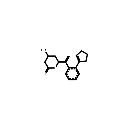 C=C(c1ccccc1C1=CCCC1)C1CC(O)CC(=O)O1